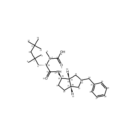 CN(C(=O)O)[C@@H](CC(C)(C)CC(C)(C)C)C(=O)N[C@@H]1CC[C@H]2CN(Cc3ccccc3)C[C@H]21